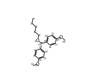 CCCCCOP(c1ccc(OC)cc1)c1ccc(OC)cc1